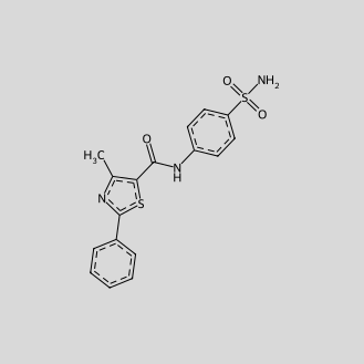 Cc1nc(-c2ccccc2)sc1C(=O)Nc1ccc(S(N)(=O)=O)cc1